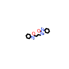 CN(CCCC(=O)N(C)C1CCCCC1)C(=O)N(C)C1CCCCC1